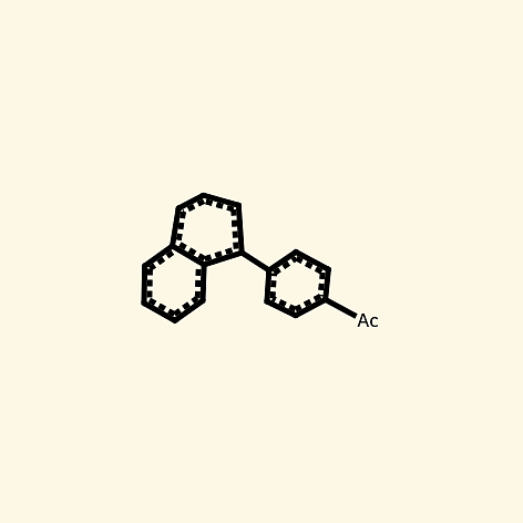 CC(=O)c1ccc(-c2cccc3ccccc23)cc1